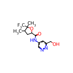 CC1CC(C(=O)Nc2cnnc(CO)c2)OC1(C)C(F)(F)F